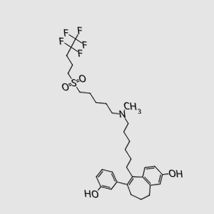 CN(CCCCCCC1=C(c2cccc(O)c2)CCCc2cc(O)ccc21)CCCCCS(=O)(=O)CCCC(F)(F)C(F)(F)F